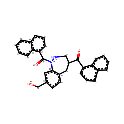 O=C(c1cccc2ccccc12)C1CNN(C(=O)c2cccc3ccccc23)c2cc(CO)ccc2C1